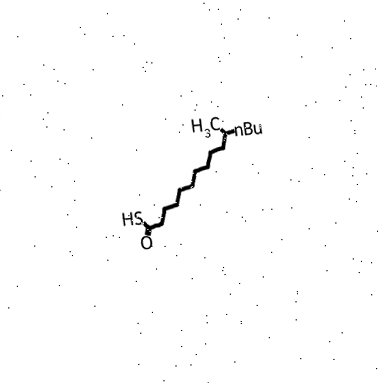 CCCCC(C)CCCCCCCCCC(=O)S